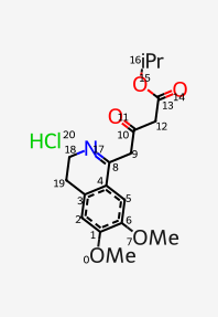 COc1cc2c(cc1OC)C(CC(=O)CC(=O)OC(C)C)=NCC2.Cl